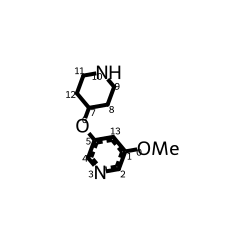 COc1cncc(OC2CCNCC2)c1